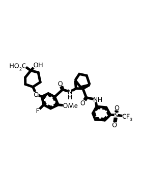 COc1cc(F)c(OC2CCC(O)(C(=O)O)CC2)cc1C(=O)NC1C2CCC(C2)C1C(=O)Nc1cccc(S(=O)(=O)C(F)(F)F)c1